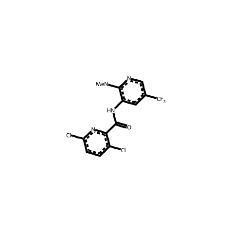 CNc1ncc(C(F)(F)F)cc1NC(=O)c1nc(Cl)ccc1Cl